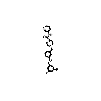 O=C(Nc1cccnc1)N1CCN(Cc2cccc(OCc3cc(F)cc(F)c3)c2)CC1